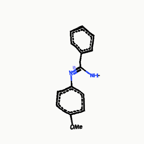 COc1ccc(/N=C(\[NH])c2ccccc2)cc1